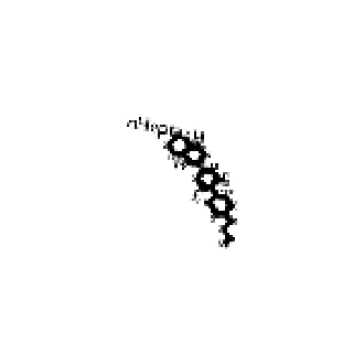 C=CCCc1ccc(-c2c(F)cc([C@@H]3CC[C@@H]4CC(CCCCCCC)CC[C@@H]4C3)cc2F)cc1